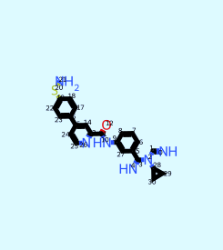 N=CN(C(=N)c1cccc(NC(=O)c2cc(-c3ccc(SN)cc3)ccn2)c1)C1CC1